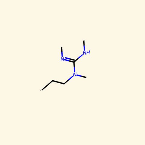 [CH2]CCN(C)C(=NC)NC